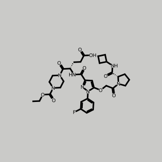 CCOC(=O)N1CCN(C(=O)[C@H](CCC(=O)O)NC(=O)c2cc(OCC(=O)N3CCC[C@H]3C(=O)NC3CCC3)n(-c3cccc(F)c3)n2)CC1